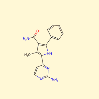 Cc1c(-c2ccnc(N)n2)[nH]c(-c2ccccc2)c1C(N)=O